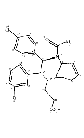 CCC(=O)N(C1C=CCC1)[C@H](c1ccc(Cl)cc1)[C@H](CCCC(=O)O)c1cccc(Cl)c1